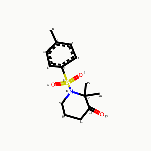 Cc1ccc(S(=O)(=O)N2CCCC(=O)C2(C)C)cc1